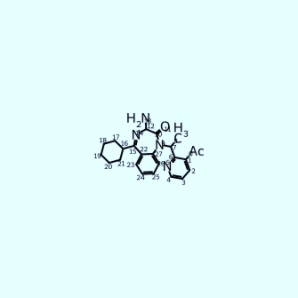 CC(=O)c1cccnc1C(C)N1C(=O)C(N)N=C(C2CCCCC2)c2ccccc21